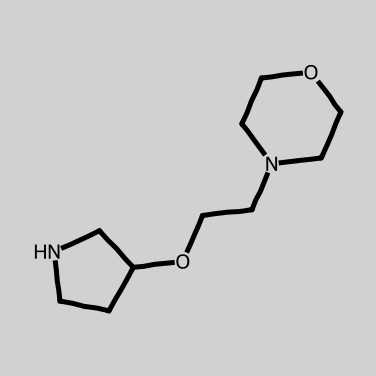 C1CC(OCCN2CCOCC2)CN1